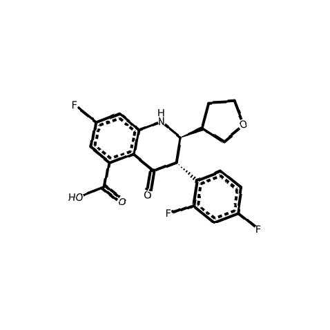 O=C(O)c1cc(F)cc2c1C(=O)[C@@H](c1ccc(F)cc1F)[C@H](C1CCOC1)N2